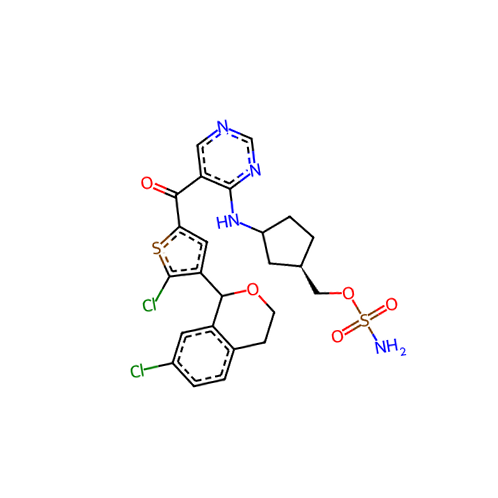 NS(=O)(=O)OC[C@@H]1CCC(Nc2ncncc2C(=O)c2cc(C3OCCc4ccc(Cl)cc43)c(Cl)s2)C1